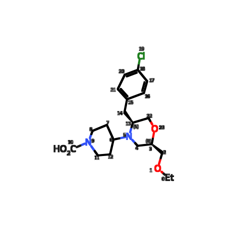 CCOC[C@H]1CN(C2CCN(C(=O)O)CC2)[C@@H](Cc2ccc(Cl)cc2)CO1